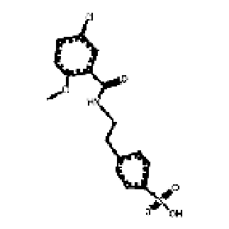 COc1ccc(Cl)cc1C(=O)NCCc1ccc(S(=O)(=O)O)cc1